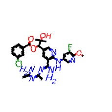 C=C(N)/N=C(C)\N=C(/N)c1cc(C(OC(=O)c2cccc(Cl)c2)C(C)(C)O)cnc1Nc1cnc(OC)c(F)c1